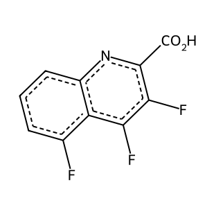 O=C(O)c1nc2cccc(F)c2c(F)c1F